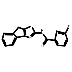 O=C(Nc1nc2c(s1)Cc1ccccc1-2)c1cccc(F)c1